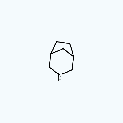 [CH]1C2CCC1CNC2